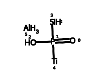 O=[P](O)([SiH])[Ti].[AlH3]